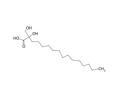 CCCCCCCCCCCCCCC(O)(CO)C(=O)O